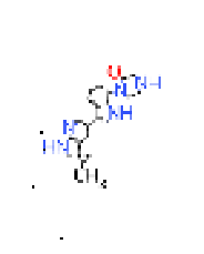 C[C@@H]1C[C@]12CNc1ncc(-c3c[nH]c4c(N5CCNCC5=O)cccc34)cc12